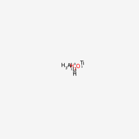 O.[AlH3].[LiH].[Ti]